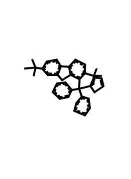 CC(C)(C)c1ccc2c(c1)Cc1c-2ccc(C(C)(C)C)c1C(C1=CC=CC1)(c1ccccc1)c1ccccc1